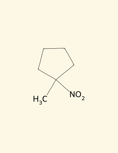 CC1([N+](=O)[O-])CCCC1